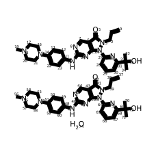 C=CCn1c(=O)c2cnc(Nc3ccc(N4CCN(C)CC4)cc3)nc2n1-c1cccc(C(C)(C)O)n1.C=CCn1c(=O)c2cnc(Nc3ccc(N4CCN(C)CC4)cc3)nc2n1-c1cccc(C(C)(C)O)n1.O